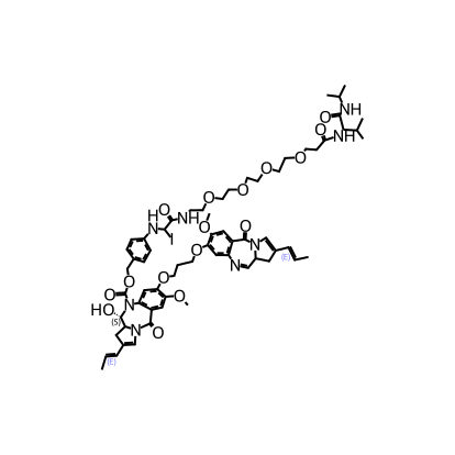 C/C=C/C1=CN2C(=O)c3cc(OC)c(OCCCOc4cc5c(cc4OC)C(=O)N4C=C(/C=C/C)CC4[C@H](O)N5C(=O)OCc4ccc(NC(I)C(=O)NCCOCCOCCOCCOCCC(=O)NC(C(=O)NC(C)C)C(C)C)cc4)cc3N=CC2C1